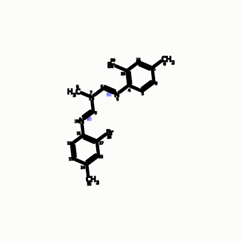 Cc1ccc(/N=C/N(C)/C=N/c2ccc(C)cc2Br)c(Br)c1